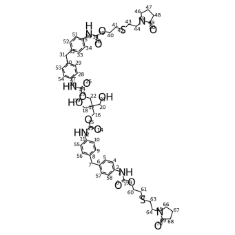 O=C(Nc1ccc(Cc2ccc(NC(=O)OCC(CO)(CO)COC(=O)Nc3ccc(Cc4ccc(NC(=O)OCCSCCN5CCCC5=O)cc4)cc3)cc2)cc1)OCCSCCN1CCCC1=O